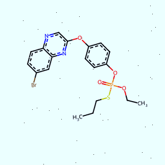 CCCSP(=O)(OCC)Oc1ccc(Oc2cnc3ccc(Br)cc3n2)cc1